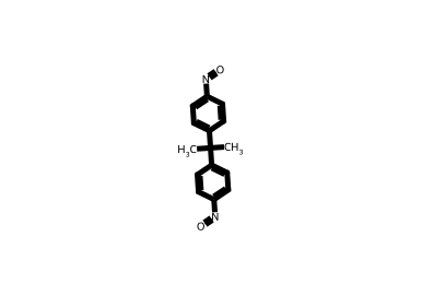 CC(C)(c1ccc(N=O)cc1)c1ccc(N=O)cc1